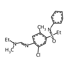 CCN(C)C=Nc1cc(C)c(S(=O)(CC)=Nc2ccccc2)cc1Cl